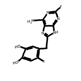 Nc1nc(F)nc2[nH]c(Cc3cc(O)c(O)cc3I)nc12